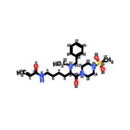 C=CC(=O)NCCCCC(C(=O)N1CCN(S(C)(=O)=O)CC1)N(Cc1ccccc1)C(=O)O